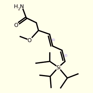 COC(/C=C/C=C\[Si](C(C)C)(C(C)C)C(C)C)CC(N)=O